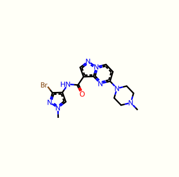 CN1CCN(c2ccn3ncc(C(=O)Nc4cn(C)nc4Br)c3n2)CC1